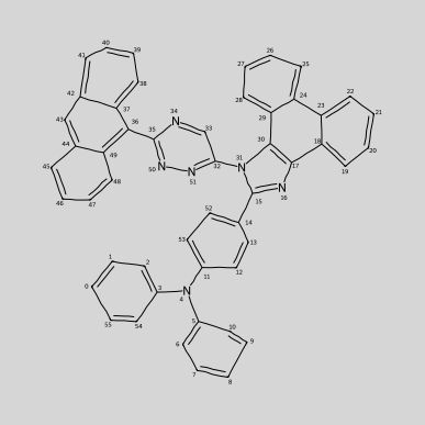 c1ccc(N(c2ccccc2)c2ccc(-c3nc4c5ccccc5c5ccccc5c4n3-c3cnc(-c4c5ccccc5cc5ccccc45)nn3)cc2)cc1